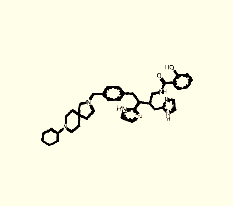 O=C(NCC(Cc1ncc[nH]1)C(Cc1ccc(CN2CCC3(CCN(C4CCCCC4)CC3)C2)cc1)c1ncc[nH]1)c1ccccc1O